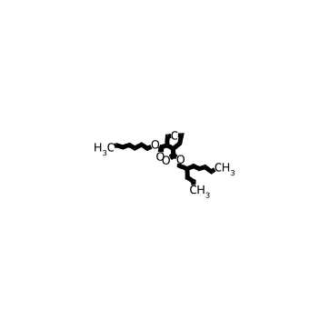 CCCCCCCOC(=O)C1CCCCC1C(=O)OCC(CCC)CCCCC